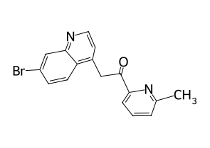 Cc1cccc(C(=O)Cc2ccnc3cc(Br)ccc23)n1